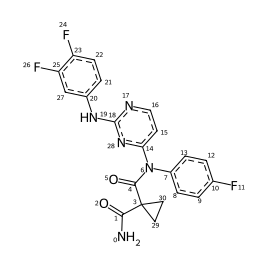 NC(=O)C1(C(=O)N(c2ccc(F)cc2)c2ccnc(Nc3ccc(F)c(F)c3)n2)CC1